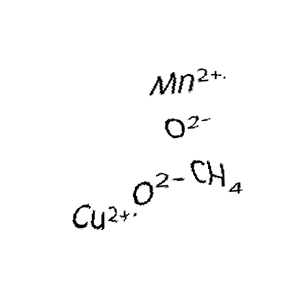 C.[Cu+2].[Mn+2].[O-2].[O-2]